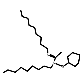 CCCCCCCCC/N=C(\C)N(CCCCCCCCC)SC1CCCCC1